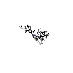 CN(C(=O)c1cc(/C(C=N)=C/Nc2c(OC(F)F)c(C(F)(F)C(F)(F)F)nn2C)c(F)cc1Cl)C1CC1